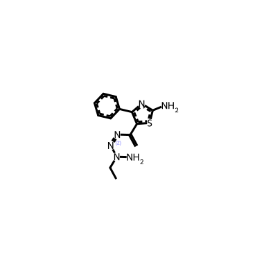 C=C(/N=N\N(N)CC)c1sc(N)nc1-c1ccccc1